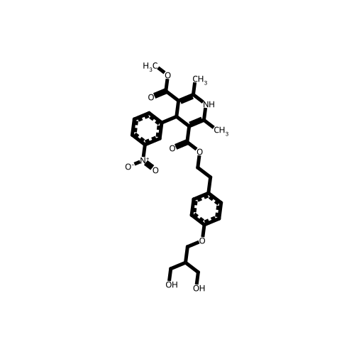 COC(=O)C1=C(C)NC(C)=C(C(=O)OCCc2ccc(OCC(CO)CO)cc2)C1c1cccc([N+](=O)[O-])c1